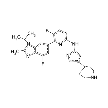 Cc1nc2c(F)cc(-c3nc(Nc4cn(C5CCNCC5)cn4)ncc3F)cc2n1C(C)C